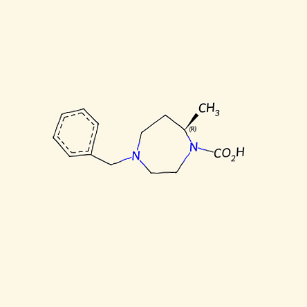 C[C@@H]1CCN(Cc2ccccc2)CCN1C(=O)O